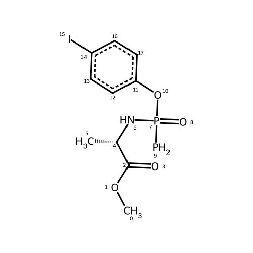 COC(=O)[C@H](C)NP(=O)(P)Oc1ccc(I)cc1